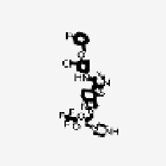 O=C(O[C@H](CN1CCNCC1)Cn1cc2c(n1)CCc1c-2sc2ncnc(Nc3ccc(OCc4cccc(F)c4)c(Cl)c3)c12)C(F)(F)F